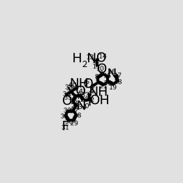 C[C@](O)(CNC(=O)c1cc(OCC(N)=O)c2ncccc2c1)c1cc2c(c(-c3ccc(F)cc3)n1)OC[C@]2(C)C(N)=O